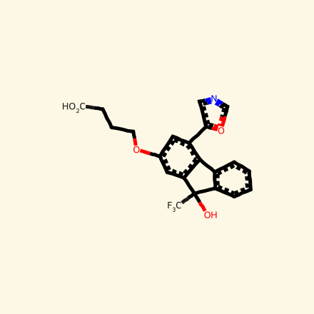 O=C(O)CCCOc1cc(-c2cnco2)c2c(c1)C(O)(C(F)(F)F)c1ccccc1-2